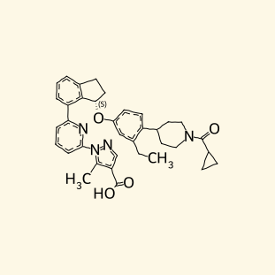 CCc1cc(O[C@H]2CCc3cccc(-c4cccc(-n5ncc(C(=O)O)c5C)n4)c32)ccc1C1CCN(C(=O)C2CC2)CC1